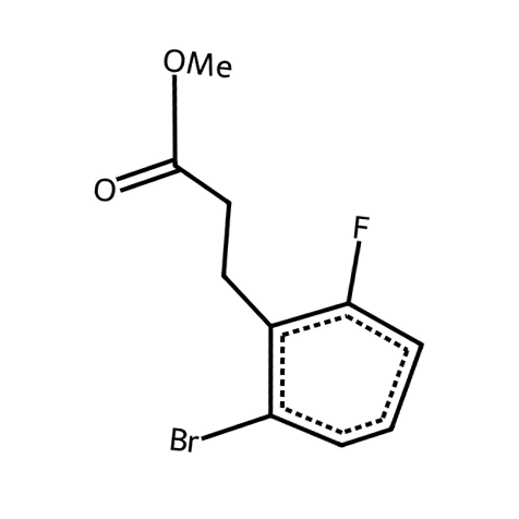 COC(=O)CCc1c(F)cccc1Br